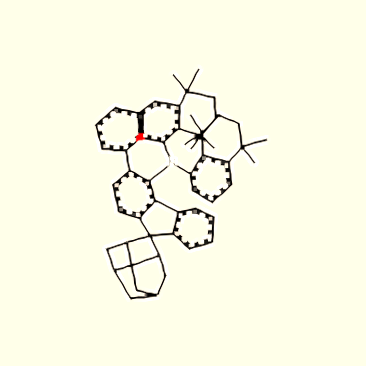 CC1(C)CCC(C)(C)c2c(N(c3cccc4c3C(C)(C)CCC4(C)C)c3c(-c4ccccc4)ccc4c3-c3ccccc3C43C4CC5CC6CC3C64C5)cccc21